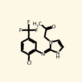 CC(=O)Cn1cc[nH]c1=Nc1cc(C(F)(F)F)ccc1Cl